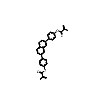 C=C(C)C(=O)Oc1ccc(-c2ccc3ccc(-c4ccc(OC(=O)C(=C)C)cc4)cc3c2)cc1